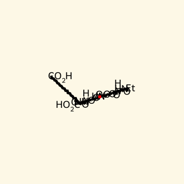 CCC(=O)NCCCNC(=O)COCCOCCNC(=O)COCCOCCNC(=O)CC[C@H](NC(=O)CCCCCCCCCCCCCCCCCCC(=O)O)C(=O)O